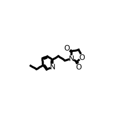 CCc1ccc(CCN2C(=O)COC2=O)nc1